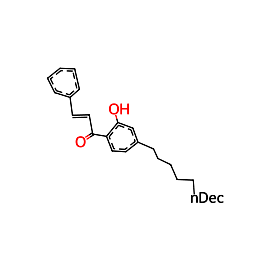 CCCCCCCCCCCCCCCc1ccc(C(=O)C=Cc2ccccc2)c(O)c1